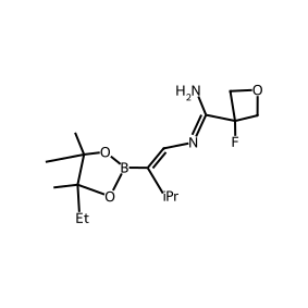 CCC1(C)OB(/C(=C/N=C(\N)C2(F)COC2)C(C)C)OC1(C)C